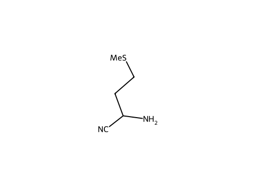 CSCCC(N)C#N